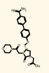 N=C(N)c1ccc(-c2ccc(OC[C@@H]3C[C@@H](CC(=O)O)C(=O)N3CC(=O)N3CCOCC3)cc2)cc1